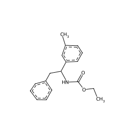 CCOC(=O)NC(Cc1ccccc1)c1cccc(C)c1